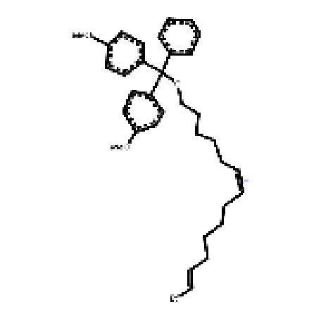 CCC=CCCCC/C=C\CCCCCOC(c1ccccc1)(c1ccc(OC)cc1)c1ccc(OC)cc1